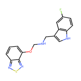 Fc1ccc2[nH]cc(CNCOc3cccc4nsnc34)c2c1